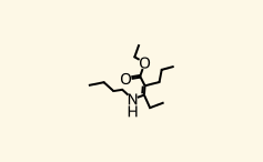 CCCCNC(CC)=C(CCC)C(=O)OCC